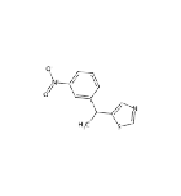 CC(c1cccc([N+](=O)[O-])c1)c1cncs1